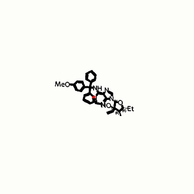 C=C[C@@]1(O)[C@H](C)[C@@H](CC)O[C@H]1n1cnc2c(NC(c3ccccc3)(c3ccccc3)c3ccc(OC)cc3)ncnc21